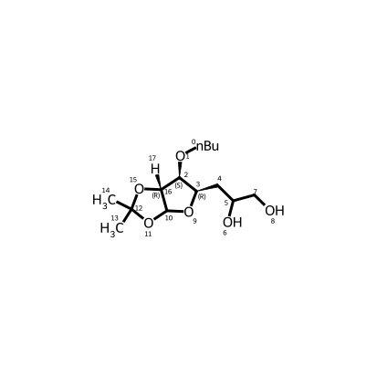 CCCCO[C@H]1[C@@H](CC(O)CO)OC2OC(C)(C)O[C@@H]21